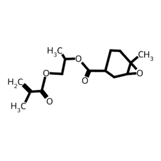 C=C(C)C(=O)OCC(C)OC(=O)C1CCC2(C)OC2C1